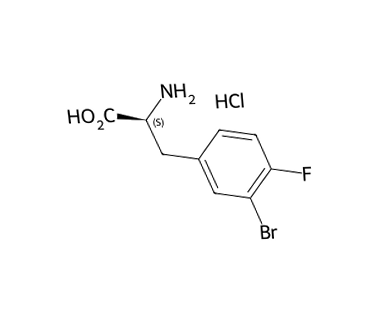 Cl.N[C@@H](Cc1ccc(F)c(Br)c1)C(=O)O